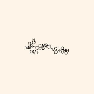 CCCCn1cc(-c2cc(OC)c(CN3CCC(OC4CCN(CCn5cccc(Cn6ccc(=O)[nH]c6=O)c5=O)CC4)CC3)c(OC)c2)c2ccncc2c1=O